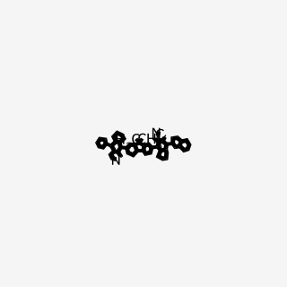 CC1(C)c2cc(-c3c4ccccc4c(-c4ccccc4)c4ccncc34)ccc2-c2ccc(-c3c4ccccc4c(-c4ccc5ccccc5c4)c4ccncc34)cc21